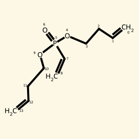 C=CCCOP(=O)(C=C)OCCC=C